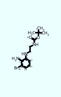 CC(C)(C)OC(=O)NCCNc1cccc(Br)c1N